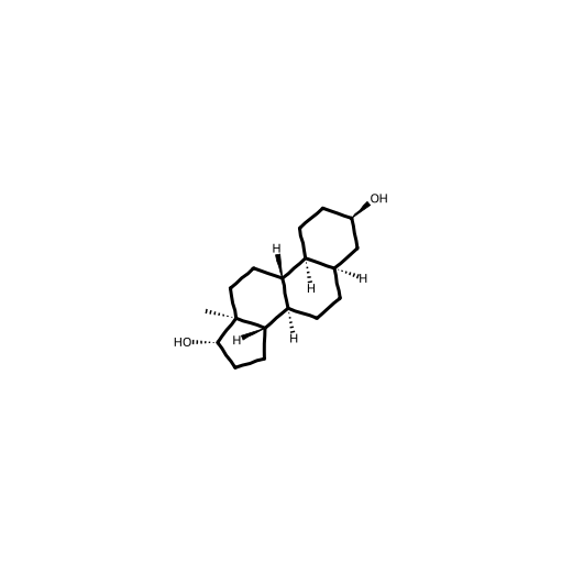 C[C@]12CC[C@H]3[C@@H](CC[C@@H]4C[C@H](O)CC[C@@H]43)[C@@H]1CC[C@@H]2O